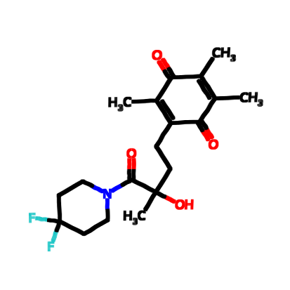 CC1=C(C)C(=O)C(CCC(C)(O)C(=O)N2CCC(F)(F)CC2)=C(C)C1=O